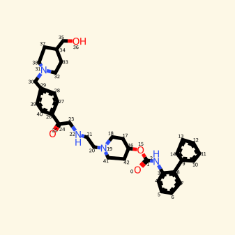 O=C(Nc1ccccc1-c1ccccc1)OC1CCN(CCNCC(=O)c2ccc(CN3CCC(CO)CC3)cc2)CC1